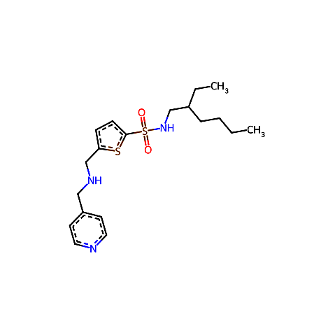 CCCCC(CC)CNS(=O)(=O)c1ccc(CNCc2ccncc2)s1